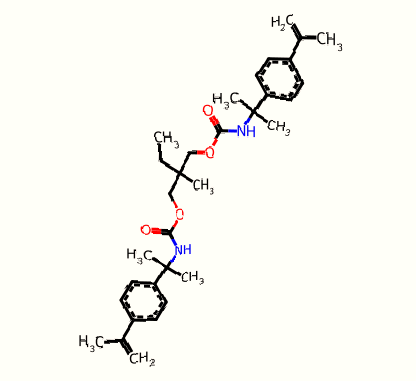 C=C(C)c1ccc(C(C)(C)NC(=O)OCC(C)(CC)COC(=O)NC(C)(C)c2ccc(C(=C)C)cc2)cc1